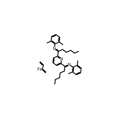 C=CC=C.CCCCCC(=Nc1c(C)cccc1C)c1cccc(C(CCCCC)=Nc2c(C)cccc2C)n1.[Fe]